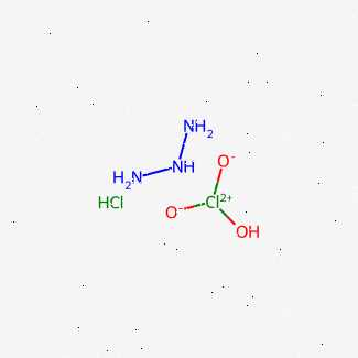 Cl.NNN.[O-][Cl+2]([O-])O